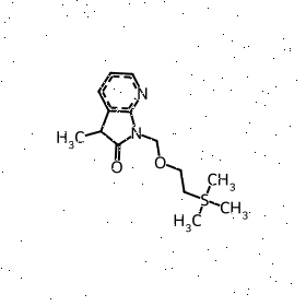 CC1C(=O)N(COCCS(C)(C)C)c2ncccc21